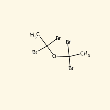 CC(Br)(Br)OC(C)(Br)Br